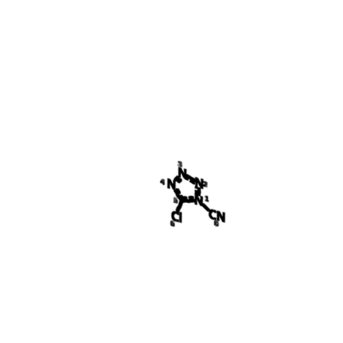 N#Cn1nnnc1Cl